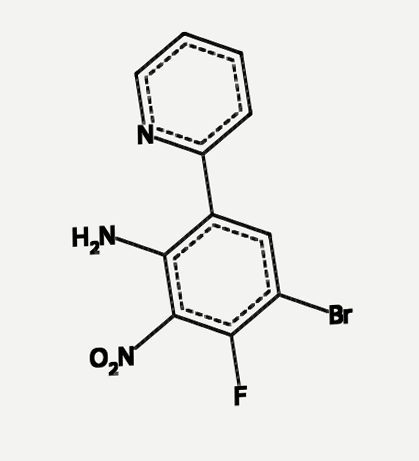 Nc1c(-c2ccccn2)cc(Br)c(F)c1[N+](=O)[O-]